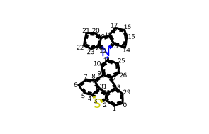 c1cc2sc3cccc4c5cc(-n6c7ccccc7c7ccccc76)ccc5c(c1)c2c34